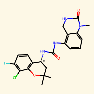 CN1C(=O)NCc2c(NC(=O)N[C@@H]3CC(C)(C)Oc4c3ccc(F)c4Cl)cccc21